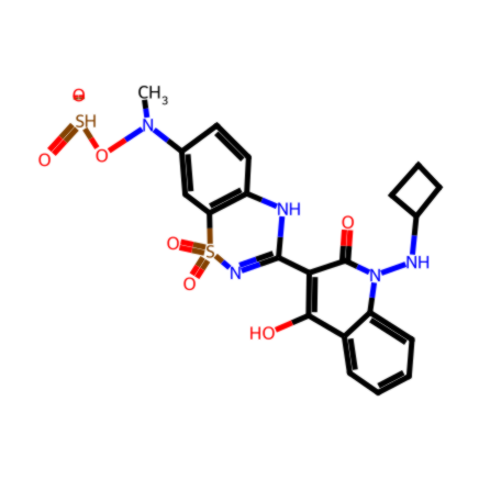 CN(O[SH](=O)=O)c1ccc2c(c1)S(=O)(=O)N=C(c1c(O)c3ccccc3n(NC3CCC3)c1=O)N2